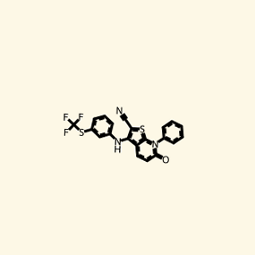 N#Cc1sc2c(ccc(=O)n2-c2ccccc2)c1Nc1cccc(SC(F)(F)F)c1